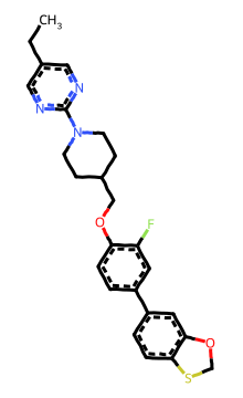 CCc1cnc(N2CCC(COc3ccc(-c4ccc5c(c4)OCS5)cc3F)CC2)nc1